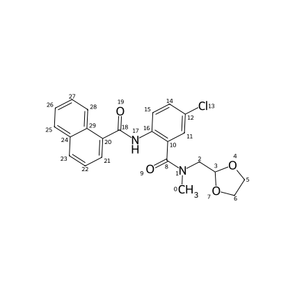 CN(CC1OCCO1)C(=O)c1cc(Cl)ccc1NC(=O)c1cccc2ccccc12